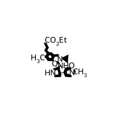 CCOC(=O)CCCc1cc(CN(C(=O)N[C@@H]2CNCC[C@H]2c2ccn(C)c(=O)c2)C2CC2)ccc1C